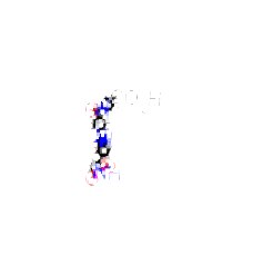 O=C1CCC(c2ccc3nn(C4CCC(C(=O)N5CCC(C(=O)O)CC5)CC4)cc3c2)C(=O)N1